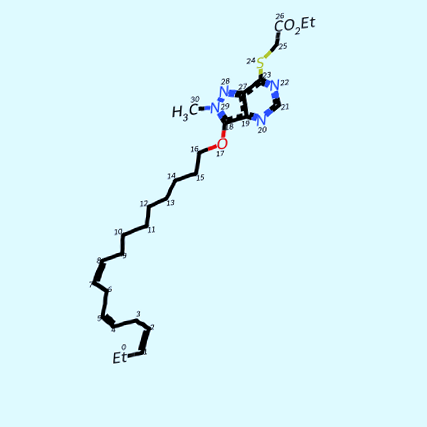 CC/C=C\C/C=C\C/C=C\CCCCCCCCOc1c2ncnc(SCC(=O)OCC)c2nn1C